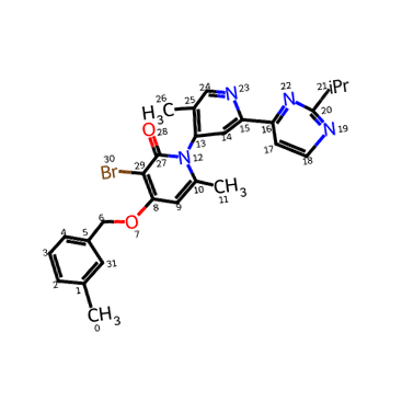 Cc1cccc(COc2cc(C)n(-c3cc(-c4ccnc(C(C)C)n4)ncc3C)c(=O)c2Br)c1